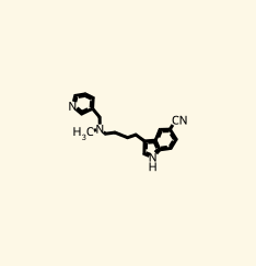 CN(CCCCc1c[nH]c2ccc(C#N)cc12)Cc1cccnc1